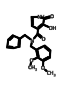 COc1cccc(CN(Cc2ccccc2)C(=O)c2cc[nH]c(=O)c2O)c1OC